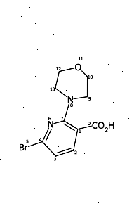 O=C(O)c1ccc(Br)nc1N1CCOCC1